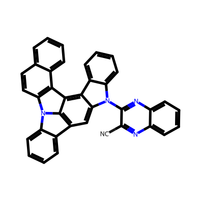 N#Cc1nc2ccccc2nc1-n1c2ccccc2c2c3c4c5ccccc5ccc4n4c5ccccc5c(cc21)c34